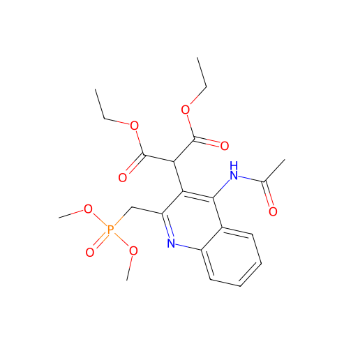 CCOC(=O)C(C(=O)OCC)c1c(CP(=O)(OC)OC)nc2ccccc2c1NC(C)=O